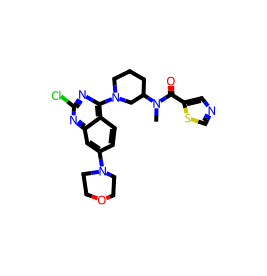 CN(C(=O)c1cncs1)C1CCCN(c2nc(Cl)nc3cc(N4CCOCC4)ccc23)C1